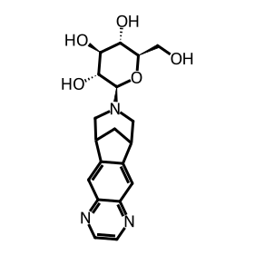 OC[C@H]1O[C@@H](N2CC3CC(C2)c2cc4nccnc4cc23)[C@H](O)[C@@H](O)[C@@H]1O